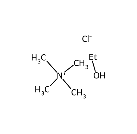 CCO.C[N+](C)(C)C.[Cl-]